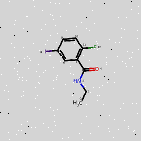 CCNC(=O)c1cc(I)ccc1F